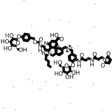 CCCCc1nc2c(NC(=O)OCc3ccc(O[C@H]4O[C@H](CO)[C@@H](O)[C@H](O)[C@@H]4O)cc3)nc3cc(C(=O)O)ccc3c2n1Cc1ccc(C[N+](C)(C)Cc2ccc(O[C@H]3O[C@H](CO)[C@@H](O)[C@H](O)[C@@H]3O)c(NC(=O)CCNC(=O)CCN3C(=O)C=CC3=O)c2)cc1